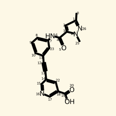 Cc1cc(C(=O)Nc2cccc(C#Cc3cncc(C(=O)O)c3)c2)n(C)n1